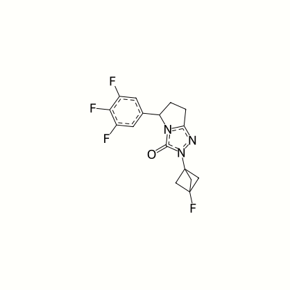 O=c1n(C23CC(F)(C2)C3)nc2n1C(c1cc(F)c(F)c(F)c1)CC2